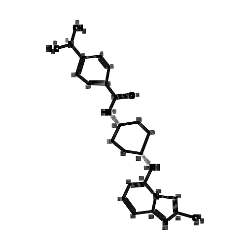 CN(C)c1ccc(C(=O)N[C@H]2CC[C@@H](Nc3cccc4nc(C(F)(F)F)cn34)CC2)cc1